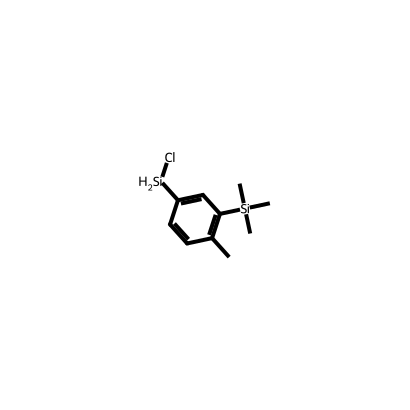 Cc1ccc([SiH2]Cl)cc1[Si](C)(C)C